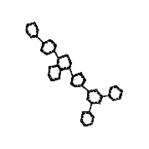 c1ccc(-c2nc(-c3ccccc3)nc(-c3ccc(-c4ccc(-c5ccc(-c6ccccn6)cc5)c5ccccc45)cc3)n2)cc1